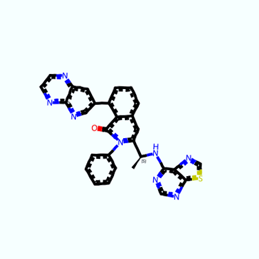 C[C@H](Nc1ncnc2scnc12)c1cc2cccc(-c3cnc4nccnc4c3)c2c(=O)n1-c1ccccc1